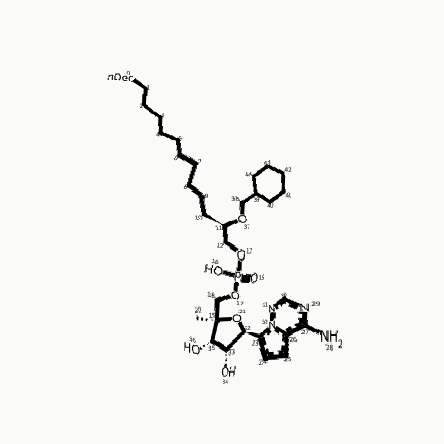 CCCCCCCCCCCCCCCCCCCC[C@H](COP(=O)(O)OC[C@@]1(C)O[C@@H](c2ccc3c(N)ncnn23)[C@H](O)[C@@H]1O)OCC1CCCCC1